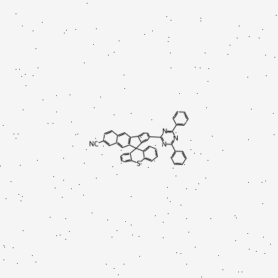 N#Cc1ccc2cc3c(cc2c1)C1(c2ccccc2Sc2ccccc21)c1cc(-c2nc(-c4ccccc4)nc(-c4ccccc4)n2)ccc1-3